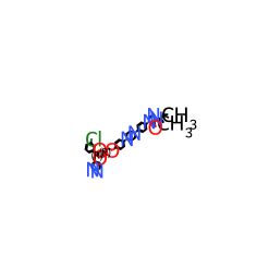 CCC(C)n1ncn(-c2ccc(N3CCN(c4ccc(OC[C@@H]5CO[C@@](Cc6ccnnc6)(c6cccc(Cl)c6)O5)cc4)CC3)cc2)c1=O